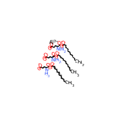 CCCCCCCCCCCC(=O)OC(=O)C(N)CCC(=O)[O-].CCCCCCCCCCCC(=O)OC(=O)C(N)CCC(=O)[O-].CCCCCCCCCCCC(=O)OC(=O)C(N)CCC(=O)[O-].[Al+3]